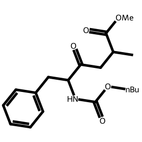 CCCCOC(=O)NC(Cc1ccccc1)C(=O)CC(C)C(=O)OC